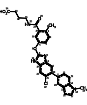 Cc1ccc(Oc2nc3cc(-c4ccc5c(ccn5C)c4)c(Cl)cc3[nH]2)cc1C(=O)NCCCC(=O)O